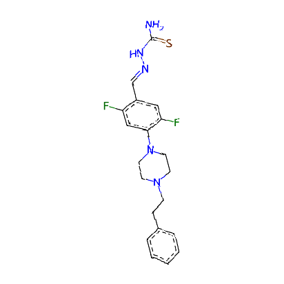 NC(=S)NN=Cc1cc(F)c(N2CCN(CCc3ccccc3)CC2)cc1F